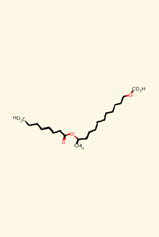 CC(CCCCCCCCCCOC(=O)O)OC(=O)CCCCCCC(=O)O